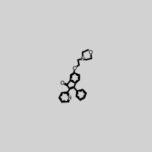 O=C1C(c2ccccn2)=C(c2ccccc2)c2ccc(OCCN3CCOCC3)cc21